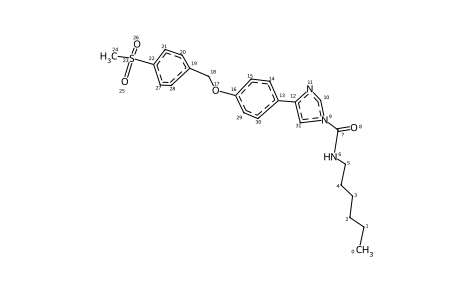 CCCCCCNC(=O)n1cnc(-c2ccc(OCc3ccc(S(C)(=O)=O)cc3)cc2)c1